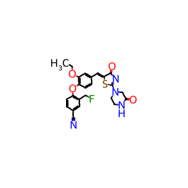 CCOc1cc(/C=C2\SC(N3CCNC(=O)C3)=NC2=O)ccc1Oc1ccc(C#N)cc1CF